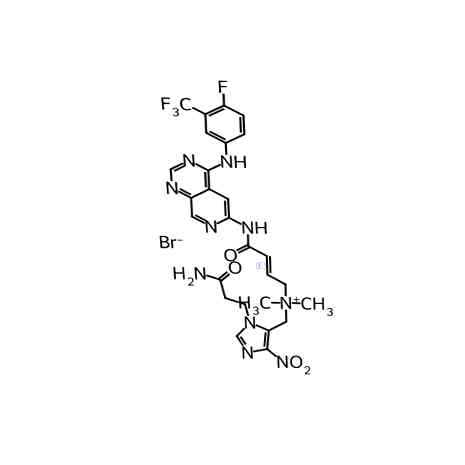 C[N+](C)(C/C=C/C(=O)Nc1cc2c(Nc3ccc(F)c(C(F)(F)F)c3)ncnc2cn1)Cc1c([N+](=O)[O-])ncn1CCC(N)=O.[Br-]